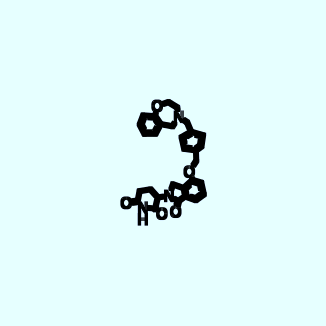 O=C1CCC(N2Cc3c(OCc4ccc(CN5CCOc6ccccc6C5)cc4)cccc3C2=O)C(=O)N1